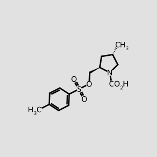 Cc1ccc(S(=O)(=O)OC[C@H]2C[C@H](C)CN2C(=O)O)cc1